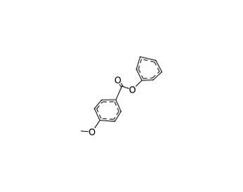 COc1ccc(C(=O)Oc2ccccc2)cc1